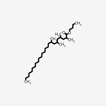 CCCCCCCCCCCCCCCCC(C)CC(C)CC(C)CC(C)C(=O)OCCCC